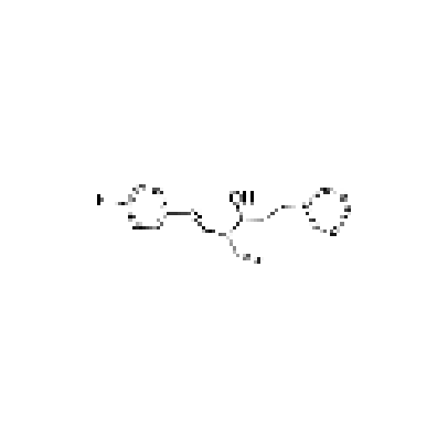 C=C[C@@H](CSc1ccc(F)cc1)[C@@H](O)CCc1ccccc1